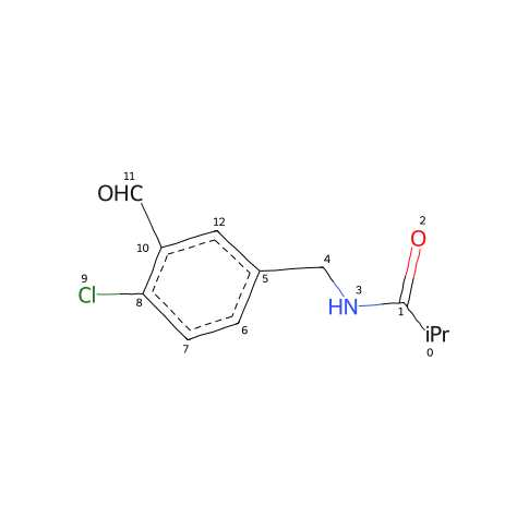 CC(C)C(=O)NCc1ccc(Cl)c(C=O)c1